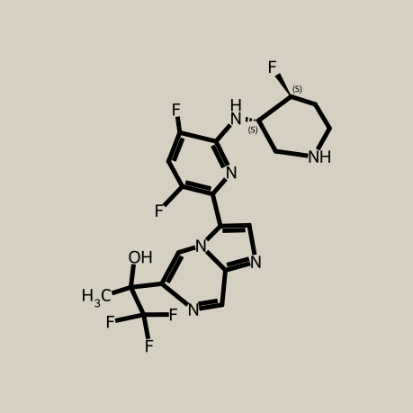 CC(O)(c1cn2c(-c3nc(N[C@H]4CNCC[C@@H]4F)c(F)cc3F)cnc2cn1)C(F)(F)F